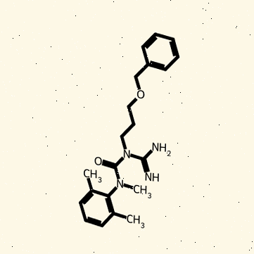 Cc1cccc(C)c1N(C)C(=O)N(CCCOCc1ccccc1)C(=N)N